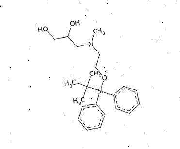 CN(CCO[Si](c1ccccc1)(c1ccccc1)C(C)(C)C)CC(O)CO